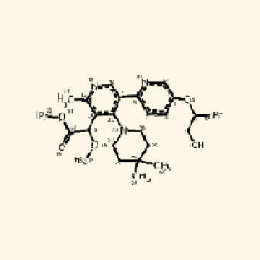 CCCC(CO)Oc1ccc(-c2cnc(C)c(C(OC(C)(C)C)C(=O)OC(C)C)c2N2CCC(C)(C)CC2)nc1